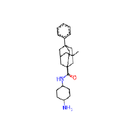 CC12CC3CC(C(=O)NC4CCC(N)CC4)(C1)CC(c1ccccc1)(C3)C2